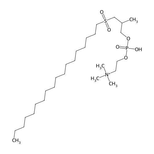 CCCCCCCCCCCCCCCCCCS(=O)(=O)CC(C)COP(=O)(O)OCC[N+](C)(C)C